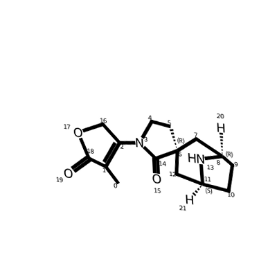 CC1=C(N2CC[C@@]3(C[C@H]4CC[C@@H](C3)N4)C2=O)COC1=O